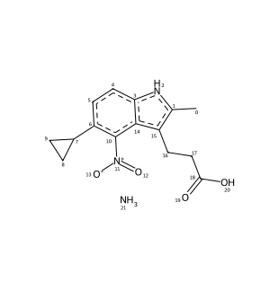 Cc1[nH]c2ccc(C3CC3)c([N+](=O)[O-])c2c1CCC(=O)O.N